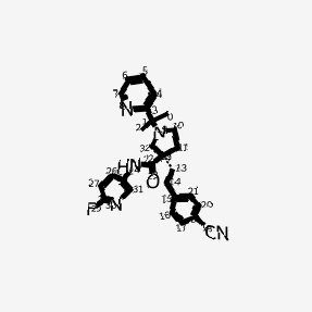 CC(C)(c1ccccn1)N1CC[C@@](CCc2ccc(C#N)cc2)(C(=O)Nc2ccc(F)nc2)C1